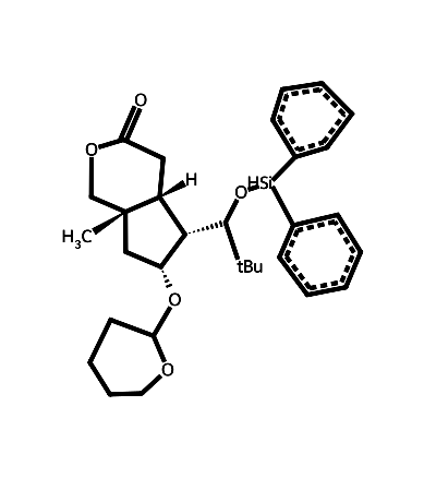 CC(C)(C)C(O[SiH](c1ccccc1)c1ccccc1)[C@H]1[C@H]2CC(=O)OC[C@@]2(C)C[C@H]1OC1CCCCO1